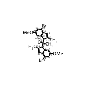 COc1cc(Br)c2c(c1)C(C(C)(C)C1C(C)=Cc3c(Br)cc(OC)cc31)C(C)=C2